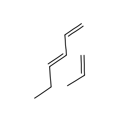 C=C/C=C/CC.C=CC